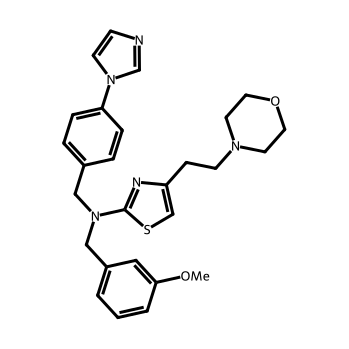 COc1cccc(CN(Cc2ccc(-n3ccnc3)cc2)c2nc(CCN3CCOCC3)cs2)c1